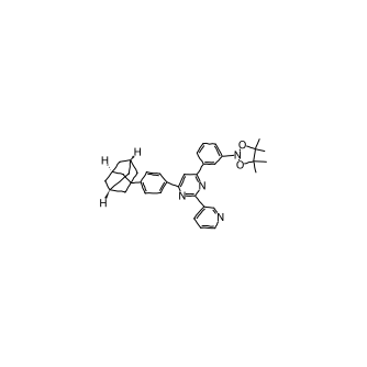 CC1(C)ON(c2cccc(-c3cc(-c4ccc(C56C[C@H]7C[C@@H](C5)C[C@@H](C6)C7)cc4)nc(-c4cccnc4)n3)c2)OC1(C)C